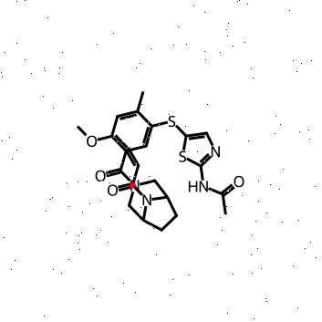 C=CC(=O)N1C2CCC1CN(C(=O)c1cc(Sc3cnc(NC(C)=O)s3)c(C)cc1OC)C2